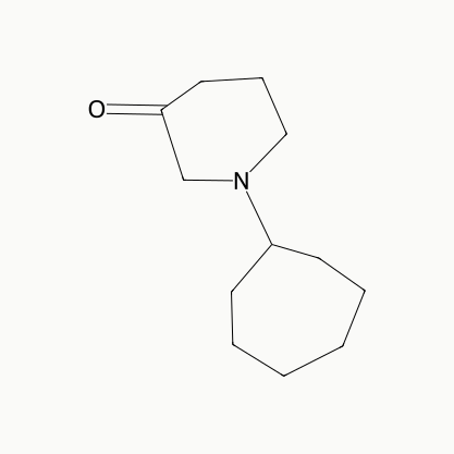 O=C1CCCN(C2CCCCCC2)C1